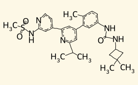 Cc1ccc(NC(=O)NC2CC(C)(C)C2)cc1-c1cc(-c2ccnc(NS(C)(=O)=O)c2)nc(C(C)C)c1